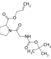 C=CCOC(=O)C1CCCN1C(=O)CNC(=O)OC(C)(C)C